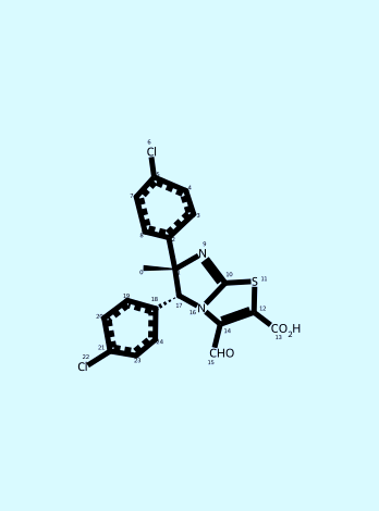 C[C@@]1(c2ccc(Cl)cc2)N=C2SC(C(=O)O)=C(C=O)N2[C@@H]1c1ccc(Cl)cc1